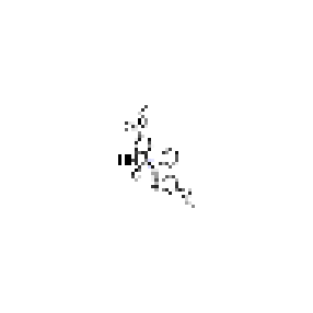 CCOC(=O)c1ccc2c(c1)NC(=O)/C2=C(\Nc1ccc(OCC)cc1)c1ccccc1